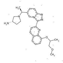 COCC(C)Oc1cccc2ccc(-c3nnc4ccc([C@H](C)N5CC[C@H](N)C5)cn34)nc12